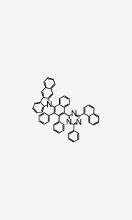 c1ccc(-c2nc(-c3cccc4ccccc34)nc(-c3c(-c4ccccc4)c(-c4ccccc4)c(-n4c5ccccc5c5cc6ccccc6cc54)c4ccccc34)n2)cc1